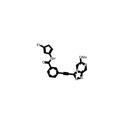 CCC1=CC(NC(=O)c2cccc(C#Cc3nnc4cnc(OC)cn34)c2)=CC1